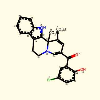 CCOC(=O)C1=CC(C(=O)c2cc(Br)ccc2O)=CN2CCc3c([nH]c4ccccc34)C12C(=O)OCC